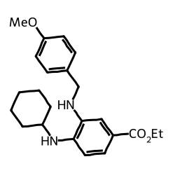 CCOC(=O)c1ccc(NC2CCCCC2)c(NCc2ccc(OC)cc2)c1